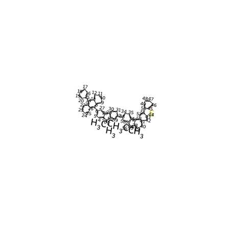 CC1(C)c2ccc(-c3c4ccccc4c(-c4ccccc4)c4ccccc34)cc2-c2ccc(C3=CC=C4c5c(ccc6cc7sc8ccccc8c7cc56)C(C)(C)C4C3)cc21